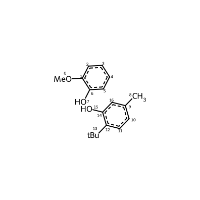 COc1ccccc1O.Cc1ccc(C(C)(C)C)c(O)c1